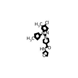 Cc1ccc(-n2c(N3CCC(C(=O)NC4CCOC4)CC3)nc3cc(Cl)c(C)cc32)cc1